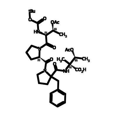 CC(=O)O[C@H](C)[C@H](NC(=O)OC(C)(C)C)C(=O)N1CCC[C@H]1C(=O)N1CCCC1(Cc1ccccc1)C(=O)N[C@](C)(C(=O)O)[C@@H](C)OC(C)=O